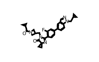 O=C(C1CC1)N1CC(CN2C(=O)C3(CC3)N=C2c2ccc(-c3ccc4c(cnn4CC4CC4)c3)cc2F)C1